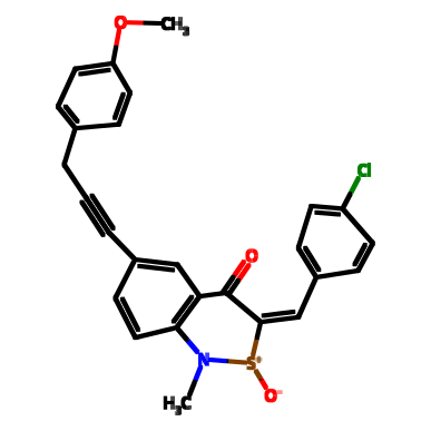 COc1ccc(CC#Cc2ccc3c(c2)C(=O)/C(=C\c2ccc(Cl)cc2)[S+]([O-])N3C)cc1